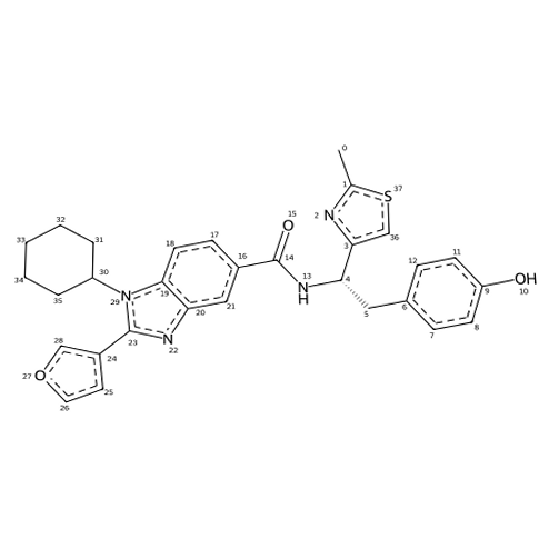 Cc1nc([C@H](Cc2ccc(O)cc2)NC(=O)c2ccc3c(c2)nc(-c2ccoc2)n3C2CCCCC2)cs1